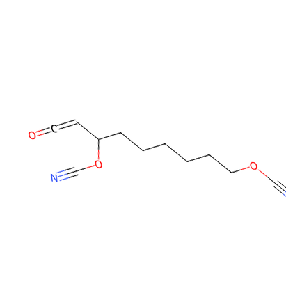 N#COCCCCCCC(C=C=O)OC#N